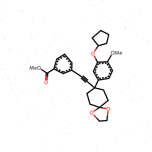 COC(=O)c1cccc(C#CC2(c3ccc(OC)c(OC4CCCC4)c3)CCC3(CC2)OCCO3)c1